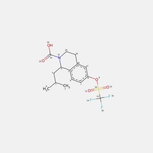 CC(C)CC1c2ccc(OS(=O)(=O)C(F)(F)F)cc2CCN1C(=O)O